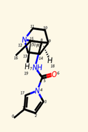 Cc1ccn(C(=O)N[C@@H]2C3CCN(CC3)[C@H]2C)c1